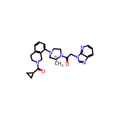 C[C@@H]1CN(c2cccc3c2CN(C(=O)C2CC2)CC3)CCN1C(=O)Cn1cnc2cccnc21